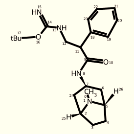 CN1[C@@H]2CC[C@H]1C[C@H](NC(=O)C(CNC(=N)OC(C)(C)C)c1ccccc1)C2